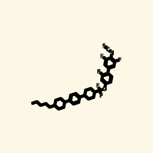 CCCCCC1CCC(c2ccc(C3CCC(C(F)(F)Oc4ccc(-c5cc(F)c(N=C=S)c(F)c5)c(F)c4)CC3)cc2)CC1